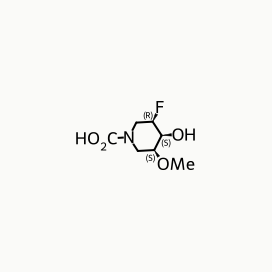 CO[C@H]1CN(C(=O)O)C[C@@H](F)[C@H]1O